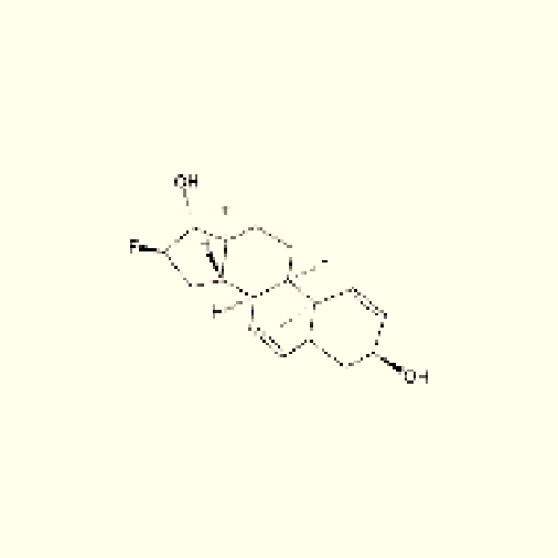 C[C@]12CC[C@]3(F)[C@@H](C=CC4C[C@H](O)C=C[C@@]43C)[C@@H]1C[C@@H](F)[C@@H]2O